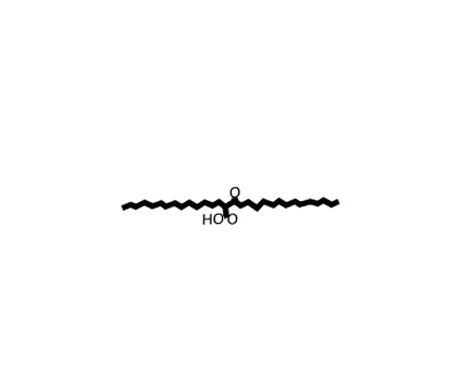 CCCCCCCCCCCCCCC(=O)C(CCCCCCCCCCCCCC)C(=O)O